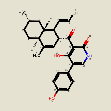 C/C=C/C1[C@H]2C[C@@H](C)CC[C@@H]2C(C)=C[C@H]1C(=O)c1c(O)c(-c2ccc(O)cc2)c[nH]c1=O